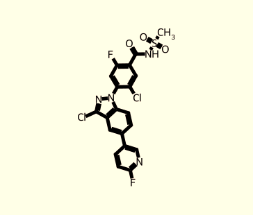 CS(=O)(=O)NC(=O)c1cc(Cl)c(-n2nc(Cl)c3cc(-c4ccc(F)nc4)ccc32)cc1F